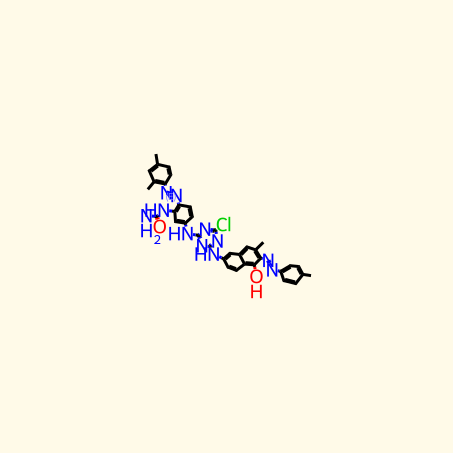 Cc1ccc(N=Nc2c(C)cc3cc(Nc4nc(Cl)nc(Nc5ccc(/N=N/c6ccc(C)cc6C)c(NC(N)=O)c5)n4)ccc3c2O)cc1